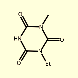 CCn1c(=O)[nH]c(=O)n(C)c1=O